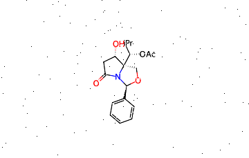 CC(=O)O[C@@H](C(C)C)[C@@]12CO[C@@H](c3ccccc3)N1C(=O)C[C@@H]2O